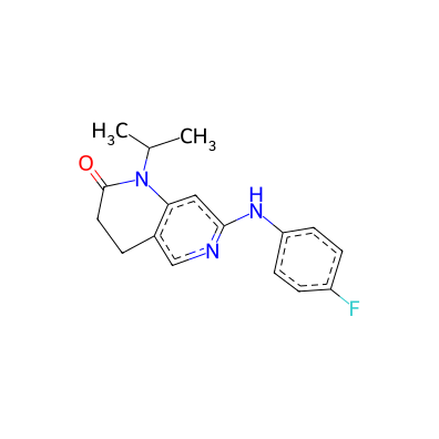 CC(C)N1C(=O)CCc2cnc(Nc3ccc(F)cc3)cc21